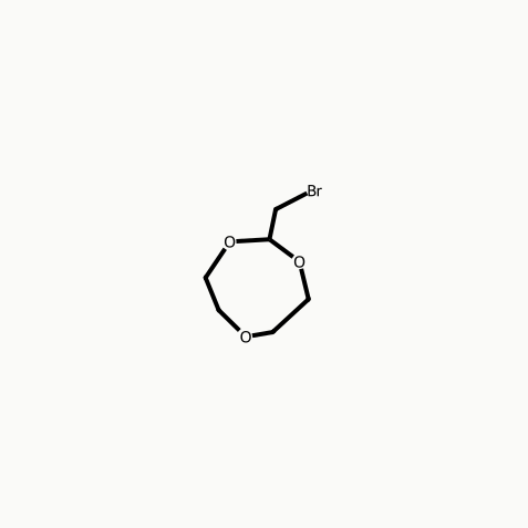 BrCC1OCCOCCO1